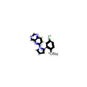 COc1ccc(F)cc1[C@H]1CCCN1c1ccc2ncncc2n1